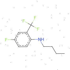 CCCCNc1ccc(F)cc1C(F)(F)F